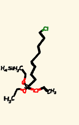 CCO[Si](CCCCCCCCCl)(OCC)OCC.[SiH4]